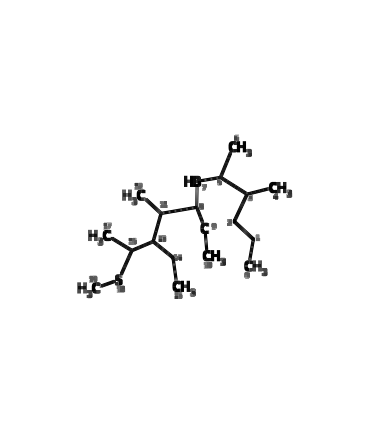 CCCC(C)C(C)BC(CC)C(C)C(CC)C(C)SC